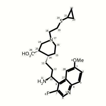 COc1ccc2ncc(F)c([C@@H](N)CC[C@H]3CCN(CCSC4CC4)C[C@H]3C(=O)O)c2c1